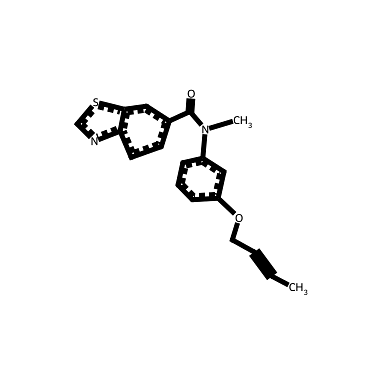 CC#CCOc1cccc(N(C)C(=O)c2ccc3ncsc3c2)c1